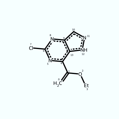 C=C(OCC)c1nc(Cl)nc2cn[nH]c12